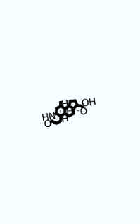 CC1CC2NC(=O)CC[C@]2(C)[C@@H]2CC[C@]3(C)C(C(=O)O)CC[C@H]3[C@H]12